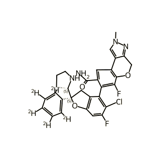 [2H]c1c([2H])c([2H])c([C@]2([C@@H]3CCCN3)Cc3c(cc(F)c(Cl)c3-c3c(C(N)=O)cc4c(c3F)OCc3nn(C)cc3-4)O2)c([2H])c1[2H]